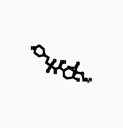 N=C(NS(=O)(=O)CCN1CCNCC1)[C@@H]1CC[C@@H]2CN1C(=O)N2OS(=O)(=O)O